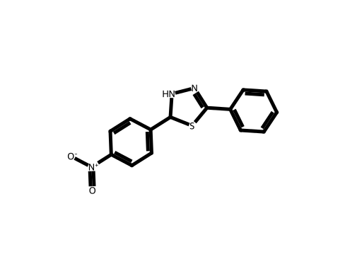 O=[N+]([O-])c1ccc(C2NN=C(c3ccccc3)S2)cc1